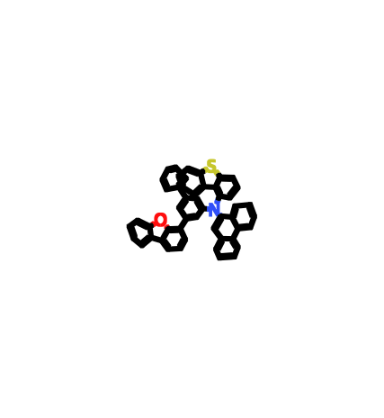 c1ccc(-c2cc(-c3cccc4c3oc3ccccc34)cc(N(c3cc4ccccc4c4ccccc34)c3cccc4sc5ccccc5c34)c2)cc1